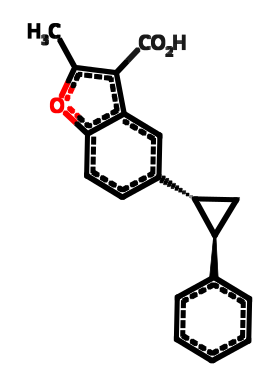 Cc1oc2ccc([C@@H]3C[C@H]3c3ccccc3)cc2c1C(=O)O